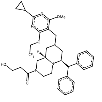 COc1nc(C2CC2)nc(OCC(F)(F)F)c1CN1C[C@H]2CN(C(=O)CCO)CCN2[C@H](C(c2ccccc2)c2ccccc2)C1